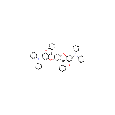 c1ccc(N(c2ccccc2)c2cc3c4c(c2)Oc2cc5c(cc2B4c2ccccc2O3)Oc2cc(N(c3ccccc3)c3ccccc3)cc3c2B5c2ccccc2O3)cc1